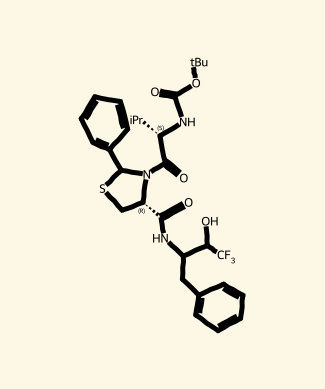 CC(C)[C@H](NC(=O)OC(C)(C)C)C(=O)N1C(c2ccccc2)SC[C@H]1C(=O)NC(Cc1ccccc1)C(O)C(F)(F)F